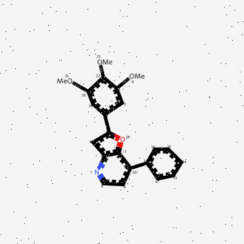 COc1cc(-c2cc3nccc(-c4ccccc4)c3o2)cc(OC)c1OC